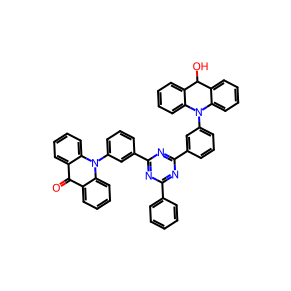 O=c1c2ccccc2n(-c2cccc(-c3nc(-c4ccccc4)nc(-c4cccc(N5c6ccccc6C(O)c6ccccc65)c4)n3)c2)c2ccccc12